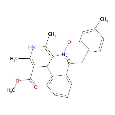 COC(=O)C1=C(C)NC(C)=C([N+](=O)[O-])C1c1ccccc1SCc1ccc(C)cc1